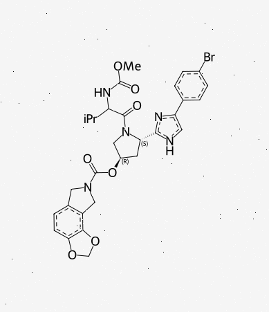 COC(=O)NC(C(=O)N1C[C@H](OC(=O)N2Cc3ccc4c(c3C2)OCO4)C[C@H]1c1nc(-c2ccc(Br)cc2)c[nH]1)C(C)C